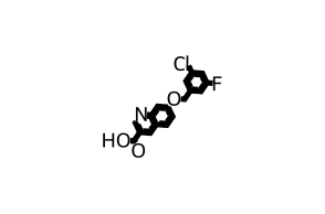 O=C(O)c1cnc2cc(OCc3cc(F)cc(Cl)c3)ccc2c1